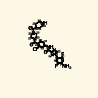 Cn1c(-c2cc(F)c(N)nc2F)cnc1C(=O)Nc1ccc(C(=O)N2CCN(C(=O)C3CCNCC3)CC2)c(Cl)c1